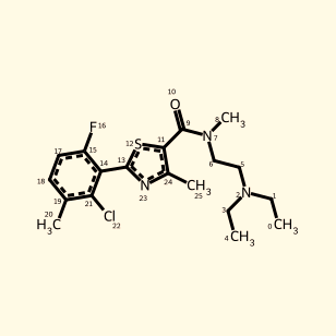 CCN(CC)CCN(C)C(=O)c1sc(-c2c(F)ccc(C)c2Cl)nc1C